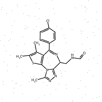 Cc1sc2c(c1C)C(c1ccc(Cl)cc1)=NC(CNC=O)c1nnc(C)n1-2